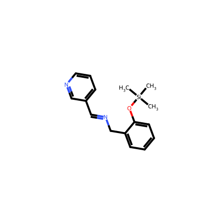 C[Si](C)(C)Oc1ccccc1CN=Cc1cccnc1